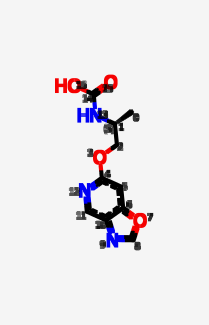 C[C@@H](COc1cc2ocnc2cn1)NC(=O)O